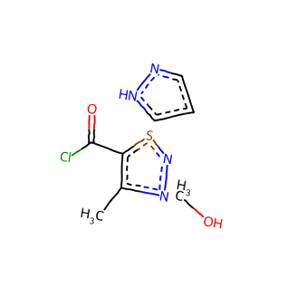 CO.Cc1nnsc1C(=O)Cl.c1cn[nH]c1